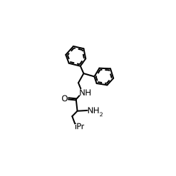 CC(C)CC(N)C(=O)NCC(c1ccccc1)c1ccccc1